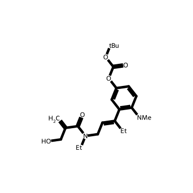 C=C(CO)C(=O)N(CC)C/C=C(\CC)c1cc(OC(=O)OC(C)(C)C)ccc1NC